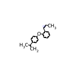 C=C(C)c1ccc(Oc2ccccc2/C=C\C)cc1